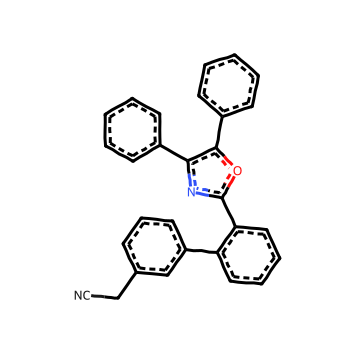 N#CCc1cccc(-c2ccccc2-c2nc(-c3ccccc3)c(-c3ccccc3)o2)c1